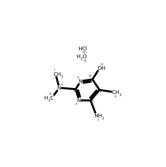 Cc1c(N)nc(N(C)C)nc1O.Cl.O